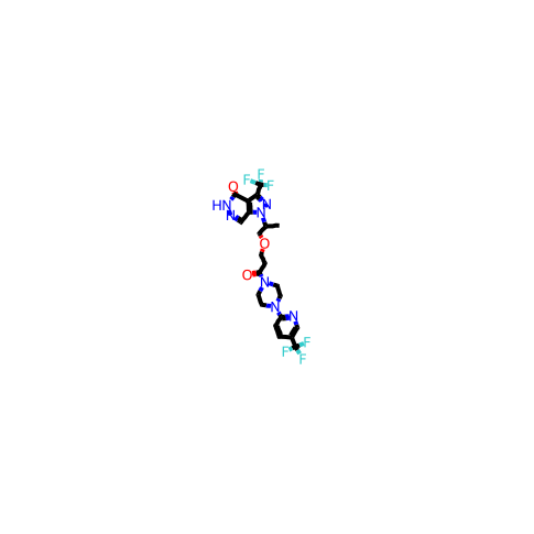 CC(COCCC(=O)N1CCN(c2ccc(C(F)(F)F)cn2)CC1)n1nc(C(F)(F)F)c2c(=O)[nH]ncc21